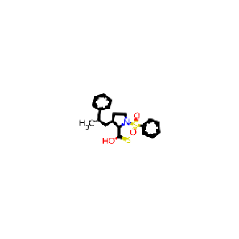 C[C@@H](CC1CCN(S(=O)(=O)c2ccccc2)C1C(O)=S)c1ccccc1